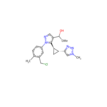 COC(O)c1cnn(-c2ccc(C)c(CCl)c2)c1[C@@H]1C[C@H]1c1cn(C)nn1